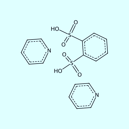 O=S(=O)(O)c1ccccc1S(=O)(=O)O.c1ccncc1.c1ccncc1